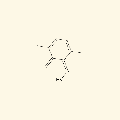 C=C1C(C)=CC=C(C)/C1=N/S